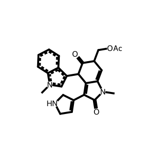 CC(=O)OCC1C=C2C(=C(C3=CCNC3)C(=O)N2C)C(c2cn(C)c3ccccc23)C1=O